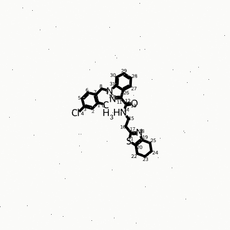 Cc1cc(Cl)ccc1Cn1nc(C(=O)NCCc2nc3c(s2)CCCC3)c2ccccc21